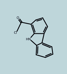 O=C(Cl)c1cccc2c1[nH]c1ccccc12